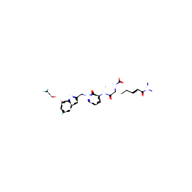 CN(C)C(=O)/C=C/CC[C@H](NC(=O)O)C(=O)Nc1cccn(Cc2cc3cc(F)cc(OCC(F)F)c3[nH]2)c1=O